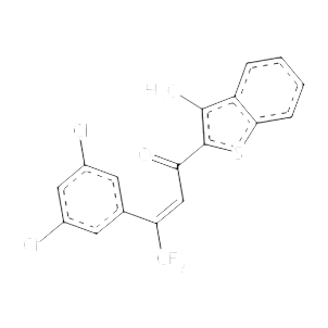 Cc1c(C(=O)C=C(c2cc(Cl)cc(Cl)c2)C(F)(F)F)sc2ccccc12